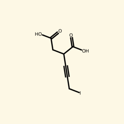 O=C(O)CC(C#CCI)C(=O)O